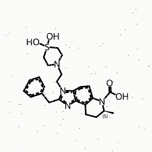 C[C@H]1CCc2c(ccc3c2nc(Cc2ccccc2)n3CCN2CCS(O)(O)CC2)N1C(=O)O